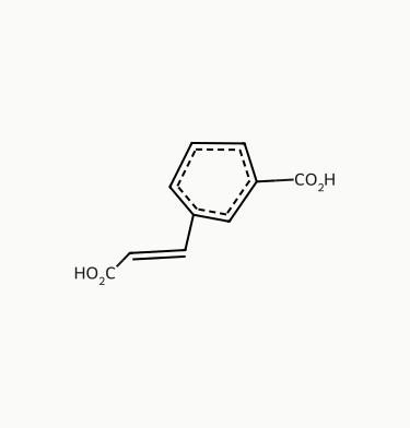 O=C(O)C=Cc1cccc(C(=O)O)c1